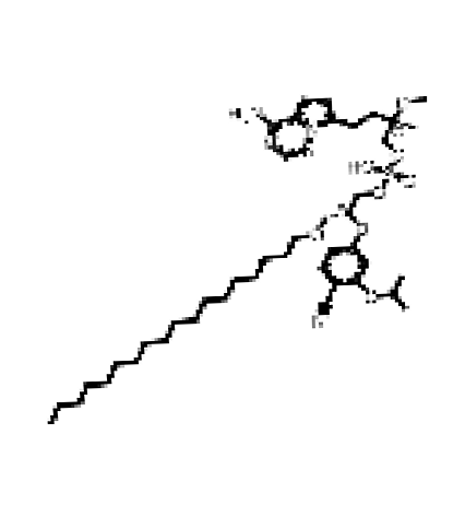 CCCCCCCCCCCCCCCCCCOC[C@H](COP(=O)(O)OC[C@](C)(CCc1ccc2c(N)ncnn12)OC)Oc1ccc(C#N)c(OC(C)C)c1